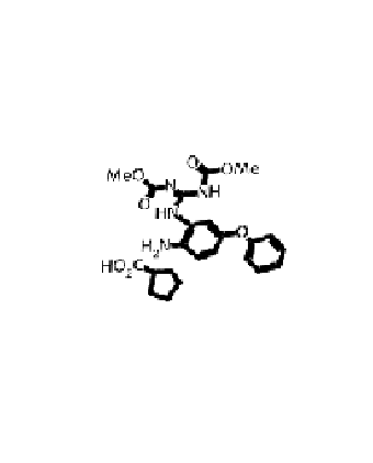 COC(=O)N=C(NC(=O)OC)Nc1cc(Oc2ccccc2)ccc1N.O=C(O)C1CCCC1